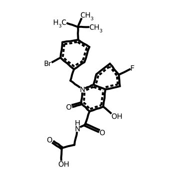 CC(C)(C)c1ccc(Cn2c(=O)c(C(=O)NCC(=O)O)c(O)c3cc(F)ccc32)c(Br)c1